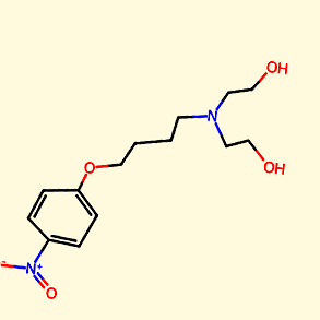 O=[N+]([O-])c1ccc(OCCCCN(CCO)CCO)cc1